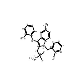 CC(C)c1ccc2c(c1)c(Sc1ccccc1C(C)C)c(CC(C)(C)C(=O)O)n2Cc1ccccc1Cl